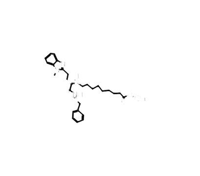 Cn1c(CC[C@H](NCCCCCCCCC(=O)OC(C)(C)C)C(=O)NOCc2ccccc2)nc2ccccc21